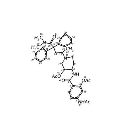 CC(=O)Nc1ccc(C(=O)NC2CCN(C(C)CC(C(=O)N(C)C)(c3ccccc3)c3ccccc3)CC2OC(C)=O)c(OC(C)=O)c1